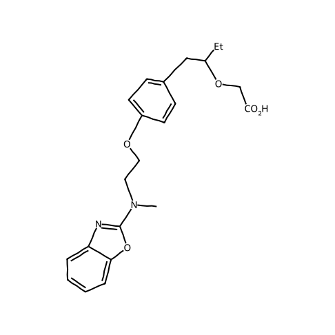 CCC(Cc1ccc(OCCN(C)c2nc3ccccc3o2)cc1)OCC(=O)O